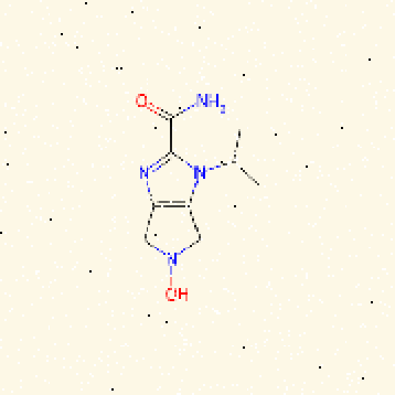 CC(C)n1c(C(N)=O)nc2c1CN(O)C2